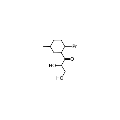 CC1CCC(C(C)C)C(C(=O)C(O)CO)C1